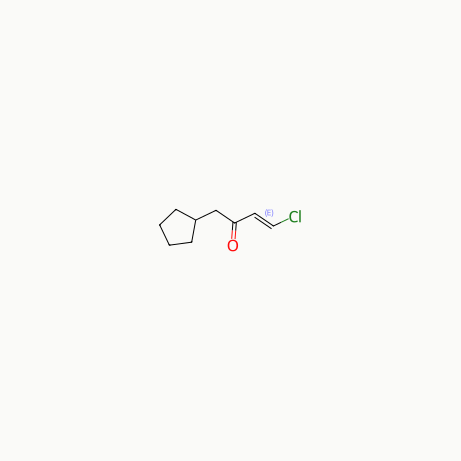 O=C(/C=C/Cl)CC1CCCC1